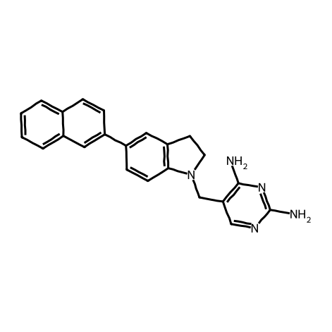 Nc1ncc(CN2CCc3cc(-c4ccc5ccccc5c4)ccc32)c(N)n1